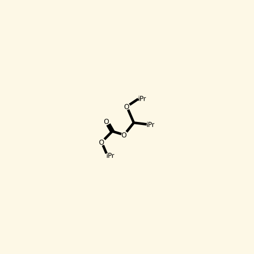 CC(C)OC(=O)OC(OC(C)C)C(C)C